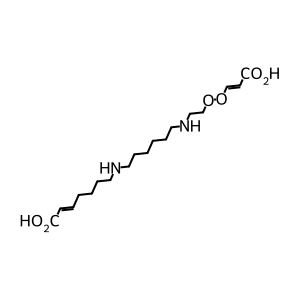 O=C(O)C=CCCCCNCCCCCCNCCOOC=CC(=O)O